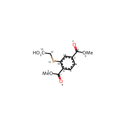 COC(=O)c1ccc(C(=O)OC)c(SCC(=O)O)c1